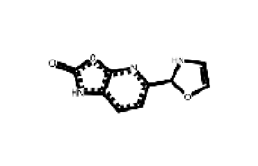 O=c1[nH]c2ccc(C3NC=CO3)nc2o1